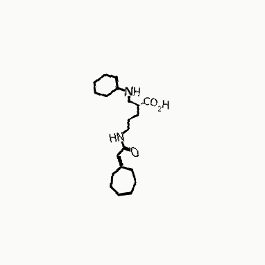 O=C(C=C1CCCCCC1)NCCC[C@H](CNC1CCCCC1)C(=O)O